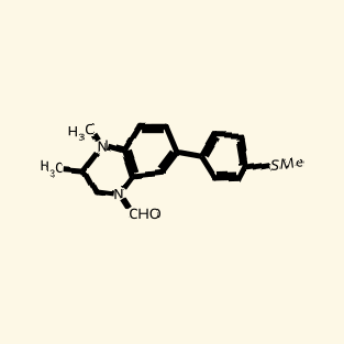 CSc1ccc(-c2ccc3c(c2)N(C=O)CC(C)N3C)cc1